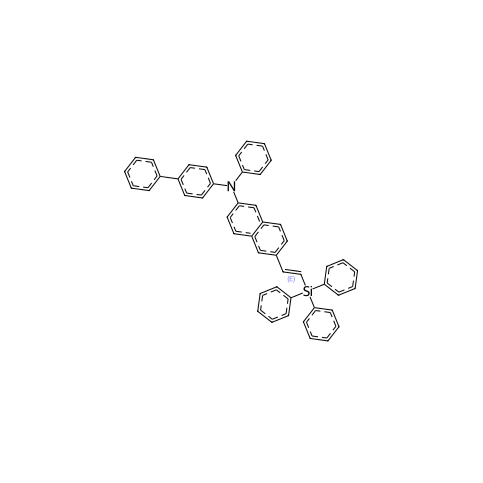 C(=C\[Si](c1ccccc1)(c1ccccc1)c1ccccc1)/c1ccc2cc(N(c3ccccc3)c3ccc(-c4ccccc4)cc3)ccc2c1